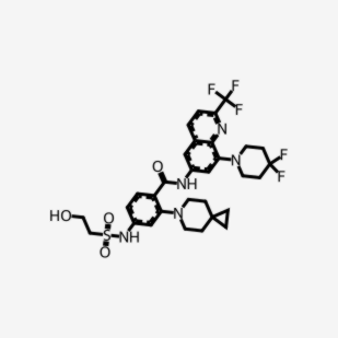 O=C(Nc1cc(N2CCC(F)(F)CC2)c2nc(C(F)(F)F)ccc2c1)c1ccc(NS(=O)(=O)CCO)cc1N1CCC2(CC1)CC2